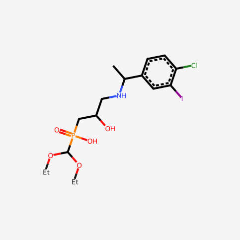 CCOC(OCC)P(=O)(O)CC(O)CNC(C)c1ccc(Cl)c(I)c1